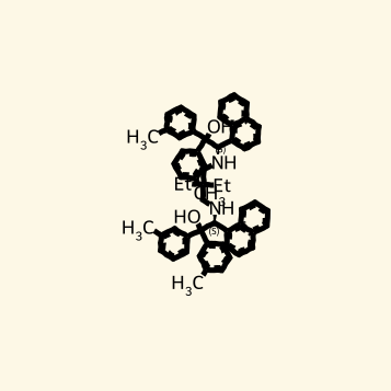 CCC(CC)(CN[C@@H](c1cccc2ccccc12)C(O)(c1cccc(C)c1)c1cccc(C)c1)CN[C@@H](c1cccc2ccccc12)C(O)(c1cccc(C)c1)c1cccc(C)c1